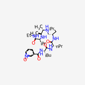 C=C(N[C@H](C(=O)NCC)C(C)C)[C@H](C)NC[C@H](CC(C)C)NC(=O)[C@H](CCC)NC(=O)[C@@H](NC(=O)c1ccc[n+]([O-])c1)[C@@H](C)CC